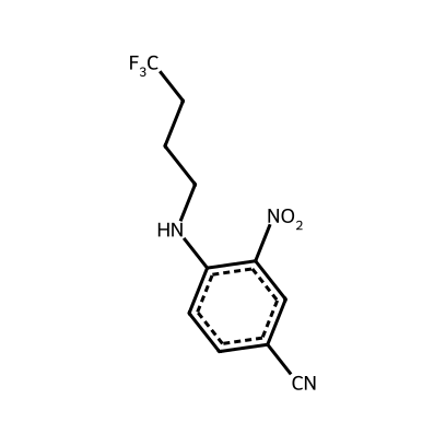 N#Cc1ccc(NCCCC(F)(F)F)c([N+](=O)[O-])c1